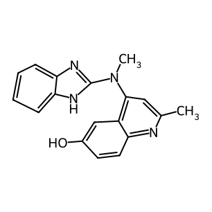 Cc1cc(N(C)c2nc3ccccc3[nH]2)c2cc(O)ccc2n1